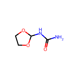 NC(=O)NC1OCCO1